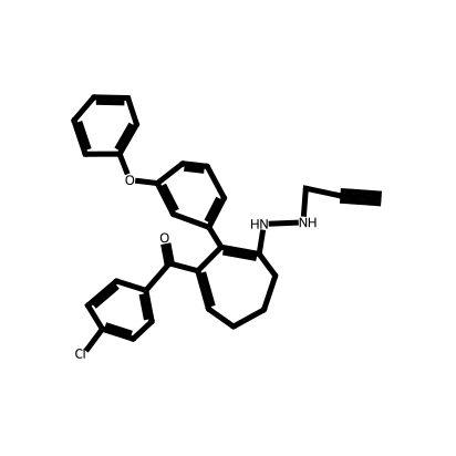 C#CCNNC1=C(c2cccc(Oc3ccccc3)c2)C(C(=O)c2ccc(Cl)cc2)=CCCC1